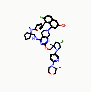 C#Cc1c(F)ccc2cc(O)cc(N3CCc4c(nc(OC[C@]5(C)C[C@@H](F)CN5c5ccc(N6CCOC[C@H]6C)nc5)nc4NCC4(N(C)C(=O)C=C)CCCC4)C3)c12